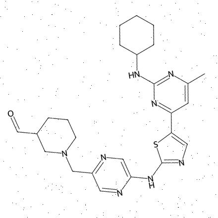 Cc1cc(-c2cnc(Nc3cnc(CN4CCCC(C=O)C4)cn3)s2)nc(NC2CCCCC2)n1